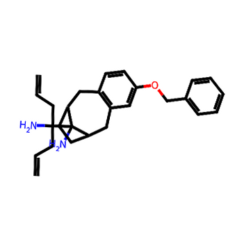 C=CCC(N)(CC=C)C1(N)C2CCC1Cc1cc(OCc3ccccc3)ccc1C2